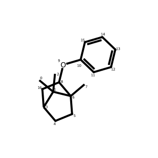 CC1(C)C2CCC1(C)C(Oc1ccccc1)C2